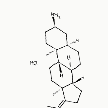 C/C=C1/CC[C@H]2[C@@H]3CC[C@@H]4C[C@H](N)CC[C@]4(C)[C@H]3CC[C@]12C.Cl